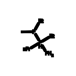 CCC[PH](P)(CC)P(C)CC